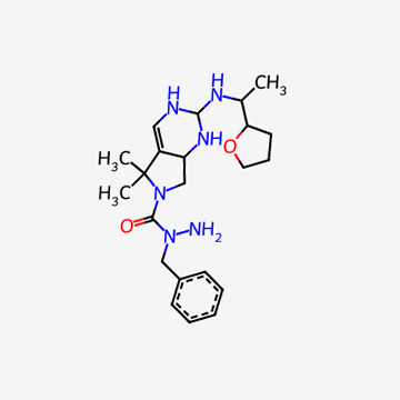 CC(NC1NC=C2C(CN(C(=O)N(N)Cc3ccccc3)C2(C)C)N1)C1CCCO1